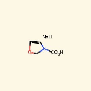 O=C(O)N1C=COC1.[NaH]